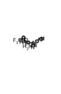 CN1CCN(C2CCC(n3cc(-c4ccc(NS(=O)(=O)c5ccccc5OC(F)(F)F)c(F)c4)c4c(N)ncnc43)CC2)CC1